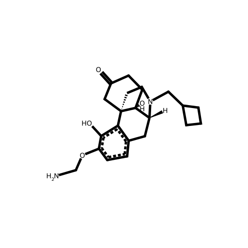 NCOc1ccc2c(c1O)[C@]13CCN(CC4CCC4)[C@H](C2)[C@]1(O)CCC(=O)C3